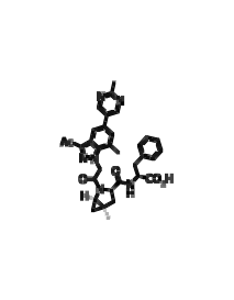 CC(=O)c1nn(CC(=O)N2[C@@H](C(=O)N[C@@H](Cc3ccccc3)C(=O)O)C[C@@]3(C)C[C@@H]23)c2c(C)cc(-c3cnc(C)nc3)cc12